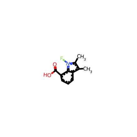 Cc1c(C)n(F)c2c(C(=O)O)cccc12